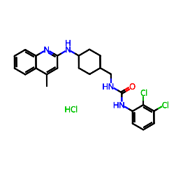 Cc1cc(NC2CCC(CNC(=O)Nc3cccc(Cl)c3Cl)CC2)nc2ccccc12.Cl